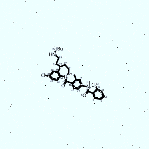 Cc1cc(NC(=O)c2ccccc2Cl)ccc1C(=O)N1CCCC(CCNC(C)(C)C)c2cc(Cl)ccc21